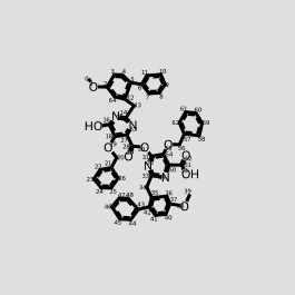 COc1ccc(-c2ccccc2)c(Cc2nc(O)c(OCc3ccccc3)c(C(=O)Oc3nc(Cc4cc(OC)ccc4-c4ccccc4)nc(C(=O)O)c3OCc3ccccc3)n2)c1